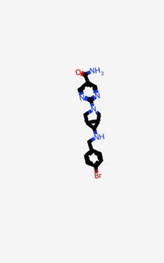 NC(=O)c1cnc(N2CC3C(C2)C3NCc2ccc(Br)cc2)nc1